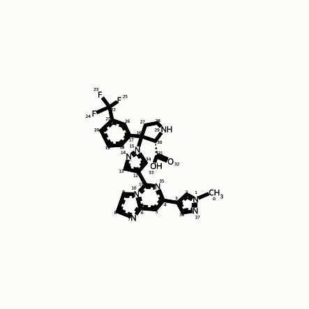 Cn1cc(-c2cc3nccn3c(-c3cnn(C4(c5cccc(C(F)(F)F)c5)CCN[C@@H]4C(=O)O)c3)n2)cn1